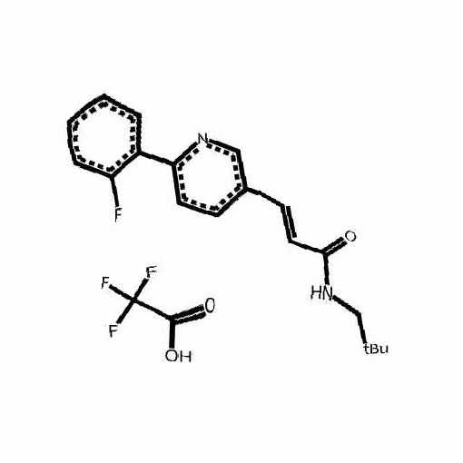 CC(C)(C)CNC(=O)/C=C/c1ccc(-c2ccccc2F)nc1.O=C(O)C(F)(F)F